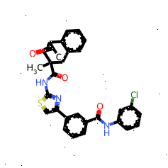 CC1(C(=O)Nc2nc(-c3cccc(C(=O)Nc4cccc(Cl)c4)c3)cs2)CC2C(=O)CC1c1ccccc12